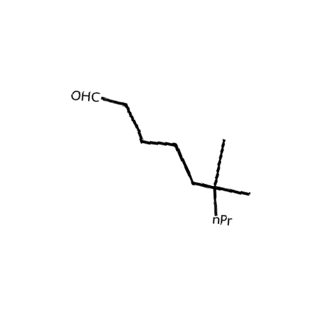 CCCC(C)(C)CCCCC=O